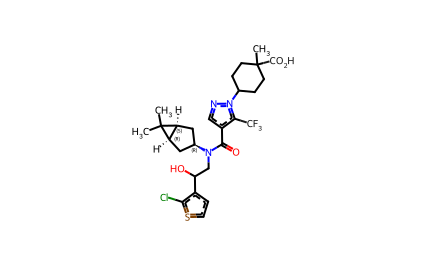 CC1(C(=O)O)CCC(n2ncc(C(=O)N(CC(O)c3ccsc3Cl)[C@H]3C[C@@H]4[C@H](C3)C4(C)C)c2C(F)(F)F)CC1